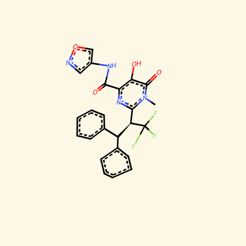 Cn1c([C@H](C(c2ccccc2)c2ccccc2)C(F)(F)F)nc(C(=O)Nc2cnoc2)c(O)c1=O